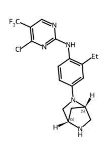 CCc1cc(N2C[C@@H]3C[C@H]2CN3)ccc1Nc1ncc(C(F)(F)F)c(Cl)n1